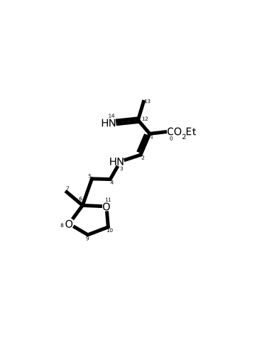 CCOC(=O)/C(=C/NCCC1(C)OCCO1)C(C)=N